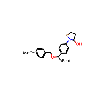 CCCCCC(OCc1ccc(OC)cc1)c1ccc(N2SCCC2O)cc1